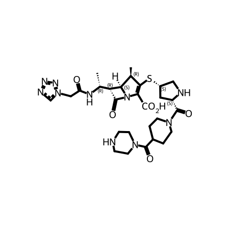 C[C@@H](NC(=O)Cn1cnnn1)[C@H]1C(=O)N2C(C(=O)O)=C(S[C@@H]3CN[C@H](C(=O)N4CCC(C(=O)N5CCNCC5)CC4)C3)[C@H](C)[C@H]12